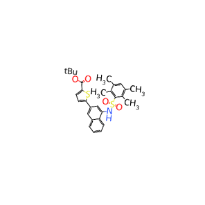 Cc1cc(C)c(C)c(S(=O)(=O)Nc2cc(-c3ccc(C(=O)OC(C)(C)C)s3)cc3ccccc23)c1C